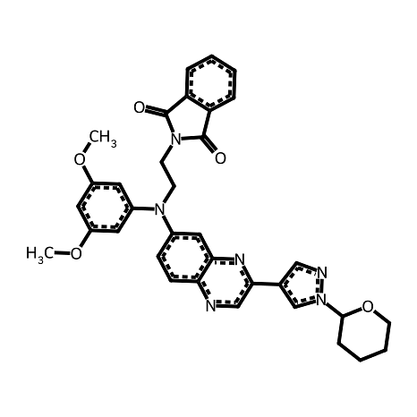 COc1cc(OC)cc(N(CCN2C(=O)c3ccccc3C2=O)c2ccc3ncc(-c4cnn(C5CCCCO5)c4)nc3c2)c1